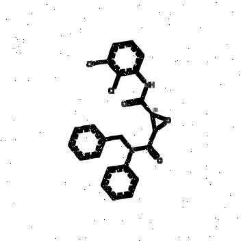 O=C(Nc1cccc(Cl)c1Cl)[C@H]1OC1C(=O)N(Cc1ccccc1)c1ccccc1